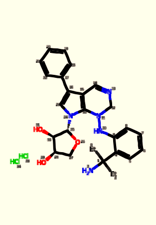 CCC(N)(CC)c1ccccc1NN1CN=Cc2c(-c3ccccc3)cn([C@@H]3OC[C@@H](O)[C@H]3O)c21.Cl.Cl